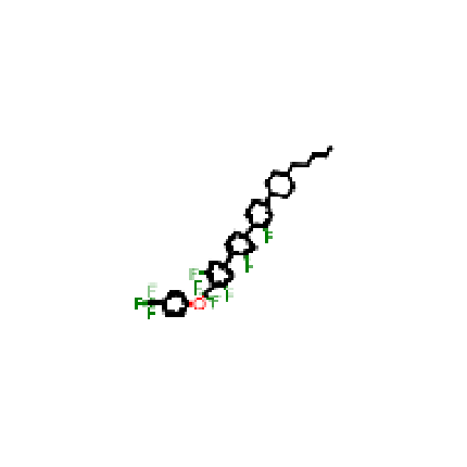 CCCCCC1CCC(c2ccc(-c3ccc(-c4cc(F)c(C(F)(F)Oc5ccc(C(F)(F)F)cc5)c(F)c4)c(F)c3)c(F)c2)CC1